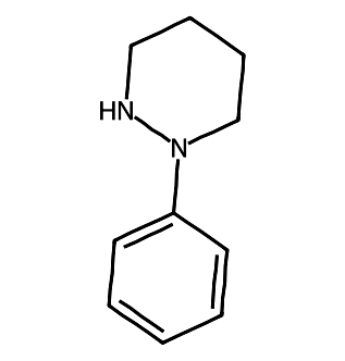 c1ccc(N2CCCCN2)cc1